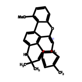 COc1cccc2c1-c1ccc3c(c1/C(=C\c1cccc(C(F)(F)F)c1)O2)C(C)=CC(C)(C)N3